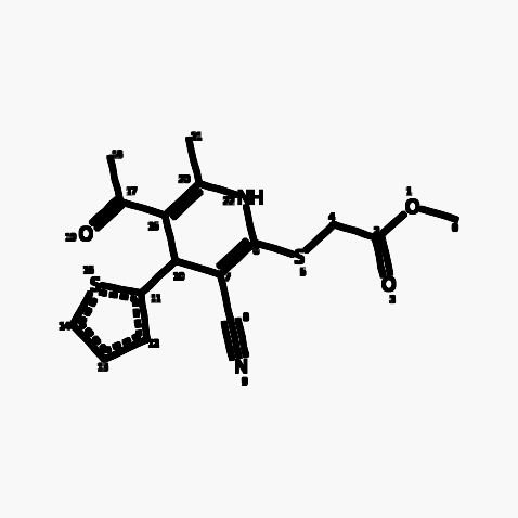 COC(=O)CSC1=C(C#N)C(c2cccs2)C(C(C)=O)=C(C)N1